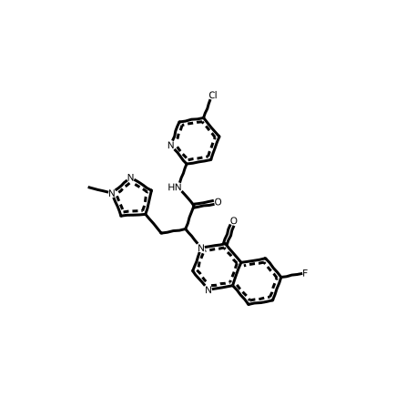 Cn1cc(CC(C(=O)Nc2ccc(Cl)cn2)n2cnc3ccc(F)cc3c2=O)cn1